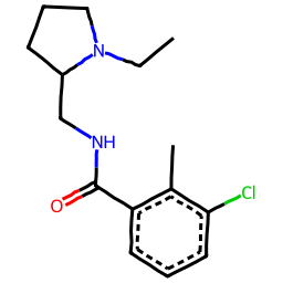 CCN1CCCC1CNC(=O)c1cccc(Cl)c1C